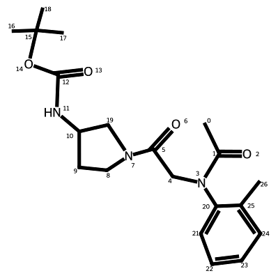 CC(=O)N(CC(=O)N1CCC(NC(=O)OC(C)(C)C)C1)c1ccccc1C